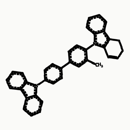 Cc1cc(-c2ccc(-n3c4ccccc4c4ccccc43)cc2)ccc1-n1c2c(c3ccccc31)CCC=C2